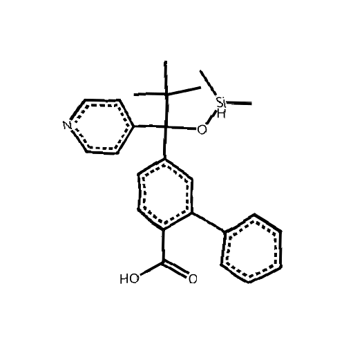 C[SiH](C)OC(c1ccncc1)(c1ccc(C(=O)O)c(-c2ccccc2)c1)C(C)(C)C